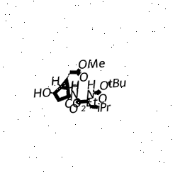 CCOC(=O)[C@]1(NC(=O)[C@H](CC(C)C)NC(=O)OC(C)(C)C)C[C@H](O)[C@H]2[C@H](CC(=O)OC)[C@H]21